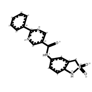 O=C(Nc1ccc2c(c1)CS(=O)(=O)N2)c1cnc(-c2ccccc2)nc1